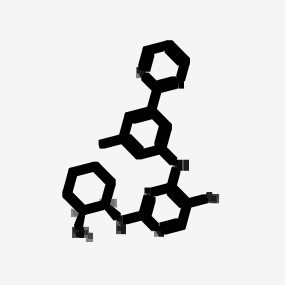 CC(=O)c1cnc(N[C@@H]2CCCC[C@@H]2N)nc1Nc1cc(C)cc(-c2ncccn2)c1